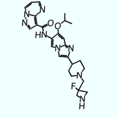 CC(C)Oc1cc2nc(C3CCN(CC4(F)CNC4)CC3)cn2cc1NC(=O)c1cnn2cccnc12